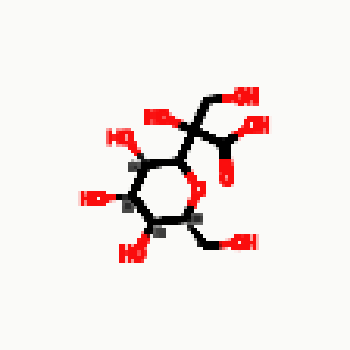 O=C(O)C(O)(CO)C1O[C@H](CO)[C@@H](O)[C@H](O)[C@@H]1O